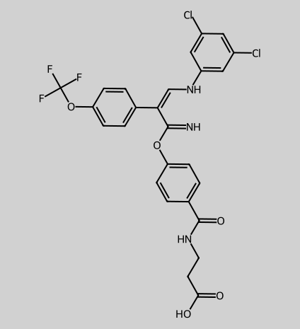 N=C(Oc1ccc(C(=O)NCCC(=O)O)cc1)/C(=C\Nc1cc(Cl)cc(Cl)c1)c1ccc(OC(F)(F)F)cc1